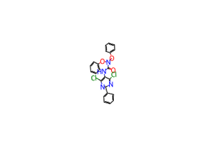 O=C(Nc1c(Cl)nc(-c2ccccc2)nc1Cl)N(Oc1ccccc1)Oc1ccccc1